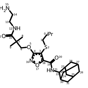 CC(C)CSc1c(OCC(C)(C)C(=O)NCCN)noc1C(=O)NC1C2CC3CC(C2)CC1C3